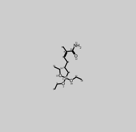 CCO[Si](CCCC=C(C)C(N)=O)(OCC)OCC